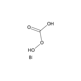 O=C(O)OO.[B]